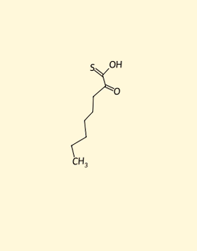 CCCCCCC(=O)C(O)=S